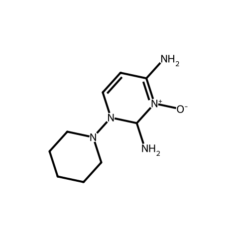 NC1=[N+]([O-])C(N)N(N2CCCCC2)C=C1